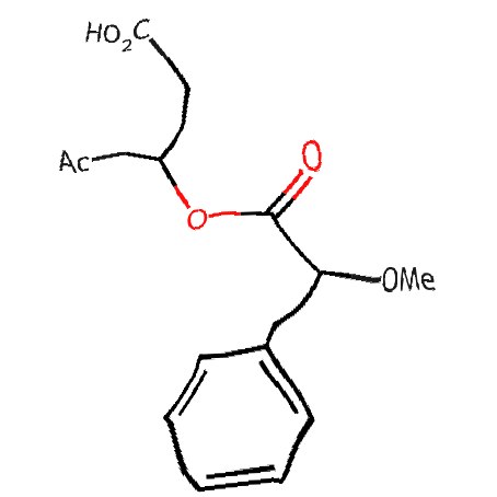 COC(C(=O)OC(CC(=O)O)C(C)=O)c1ccccc1